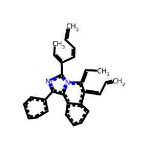 C=C/C=C\C(=C/C)c1nc(-c2ccccc2)c2c3ccccc3c(=C/C=C)/c(=C\C)n12